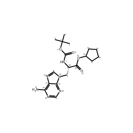 CC(C)(C)OC(=O)N[C@@H](Cn1cnc2c(N)ncnc21)C(=O)OC1CCCC1